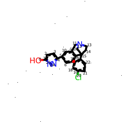 Oc1ccc(-c2ccc3c(c2)CN2CCC3(c3ccc(Cl)cc3)C2)nn1